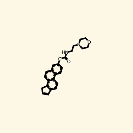 O=C(NCCN1CCOCC1)Oc1ccc2c(ccc3c4c(ccc32)C=CC4)c1